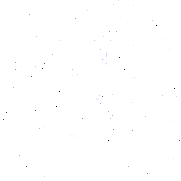 Cc1c(Br)cnn1C1CNC1